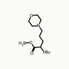 BOC(=O)C(CCCC)CCCN1CCOCC1